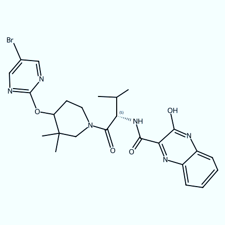 CC(C)[C@H](NC(=O)c1nc2ccccc2nc1O)C(=O)N1CCC(Oc2ncc(Br)cn2)C(C)(C)C1